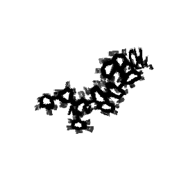 CC1(C)c2cccc(-c3ccc(-c4ccc(-c5cc(-c6cccc(-c7ccccc7)c6)nc(-c6ccccc6)n5)c5ccccc45)cc3)c2-c2c1ccc1ccccc21